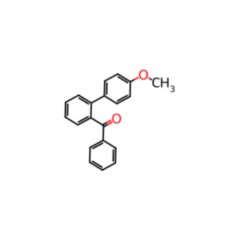 COc1ccc(-c2ccccc2C(=O)c2ccccc2)cc1